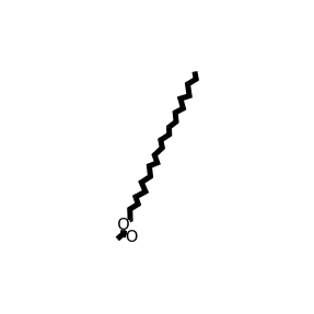 CCCCCCCCCCCCCCCCCCCCCCOC(C)=O